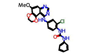 COc1cc2ncnc(Nc3ccc(NC(=O)Nc4ccccc4)c(Cl)c3)c2c2c1OCCO2